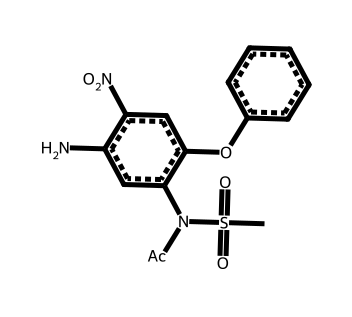 CC(=O)N(c1cc(N)c([N+](=O)[O-])cc1Oc1ccccc1)S(C)(=O)=O